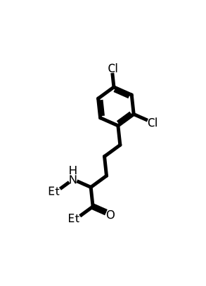 CCNC(CCCc1ccc(Cl)cc1Cl)C(=O)CC